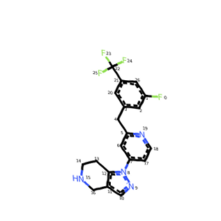 Fc1cc(Cc2cc(-n3ncc4c3CCNC4)ccn2)cc(C(F)(F)F)c1